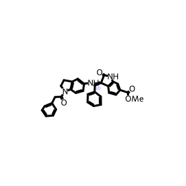 COC(=O)c1ccc2c(c1)NC(=O)/C2=C(\Nc1ccc2c(c1)CCN2C(=O)Cc1ccccc1)c1ccccc1